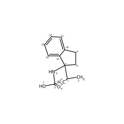 CC(C)C1(NC(=O)O)CCc2ccccc21